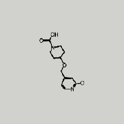 O=C(O)N1CCC(OCc2ccnc(Cl)c2)CC1